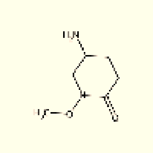 CON1CC(N)CCC1=O